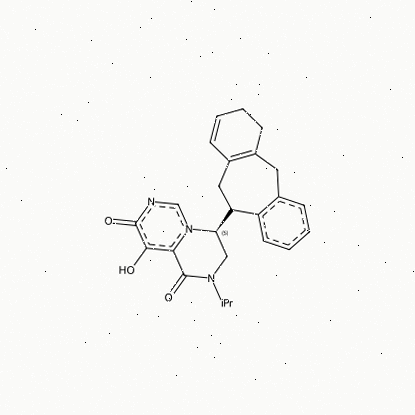 CC(C)N1C[C@H](C2CC3=C(CCC=C3)Cc3ccccc32)n2cnc(=O)c(O)c2C1=O